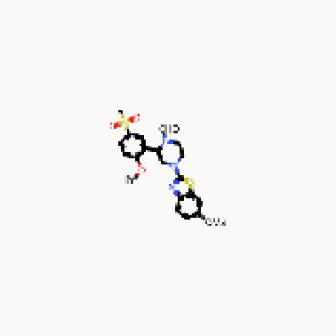 COc1ccc2nc(N3CCN(C=O)C(c4cc(S(C)(=O)=O)ccc4OC(C)C)C3)sc2c1